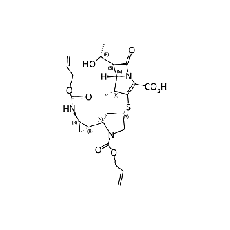 C=CCOC(=O)N[C@@H]1C[C@H]1[C@@H]1C[C@H](SC2=C(C(=O)O)N3C(=O)[C@H]([C@@H](C)O)[C@H]3[C@H]2C)CN1C(=O)OCC=C